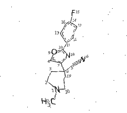 CN1CCC(C#N)(c2coc(-c3ccc(F)cc3)n2)CC1